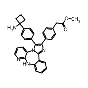 COC(=O)Cc1ccc(-c2nc3n(c2-c2ccc(C4(N)CCC4)cc2)-c2cccnc2Nc2ccccc2-3)cc1